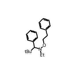 CCN(OCCc1ccccc1)C(c1ccccc1)C(C)(C)C